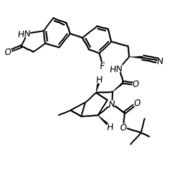 CC1C2C1[C@@H]1C[C@H]2[C@@H](C(=O)N[C@H](C#N)Cc2ccc(-c3ccc4c(c3)CC(=O)N4)cc2F)N1C(=O)OC(C)(C)C